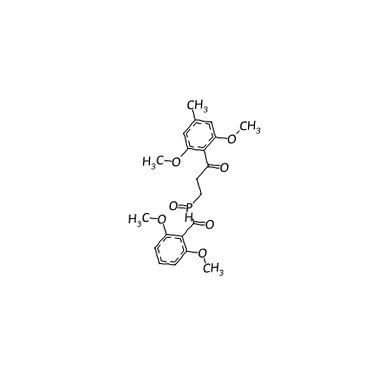 COc1cc(C)cc(OC)c1C(=O)CC[PH](=O)C(=O)c1c(OC)cccc1OC